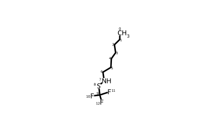 CCCCCCCNSC(F)(F)F